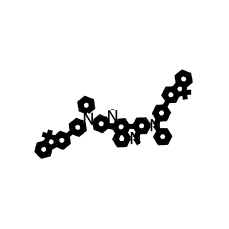 CN1c2cc(N(c3ccccc3)c3ccc(-c4ccc5c(c4)C(C)(C)c4ccccc4-5)cc3)ccc2-c2cc3c(c4cccc1c24)c1ccc(N(c2ccccc2)c2ccc(-c4ccc5c(c4)C(C)(C)c4ccccc4-5)cc2)cc1n3C